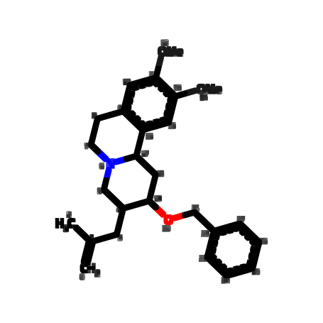 C=C(C)CC1CN2CCc3cc(OC)c(OC)cc3C2CC1OCc1ccccc1